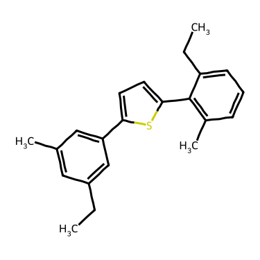 CCc1cc(C)cc(-c2ccc(-c3c(C)cccc3CC)s2)c1